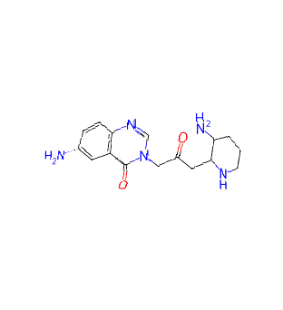 Nc1ccc2ncn(CC(=O)CC3NCCCC3N)c(=O)c2c1